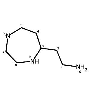 NCCC1CC[N]CCN1